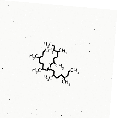 CCCC(C)CCC(C)[CH2][Al]([CH2]C(C)CCC(C)CCC)[CH2]C(C)CCC(C)CCC